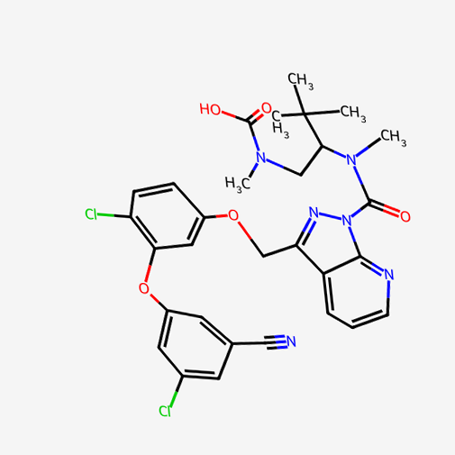 CN(CC(N(C)C(=O)n1nc(COc2ccc(Cl)c(Oc3cc(Cl)cc(C#N)c3)c2)c2cccnc21)C(C)(C)C)C(=O)O